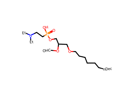 CCCCCCCCCCCCCCCCOCC(COP(=O)(O)CCN(CC)CC)OC=O